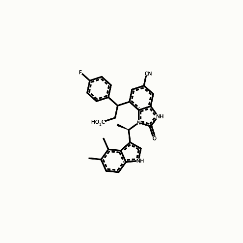 Cc1ccc2[nH]cc([C@@H](C)n3c(=O)[nH]c4cc(C#N)cc(C(CC(=O)O)c5ccc(F)cc5)c43)c2c1C